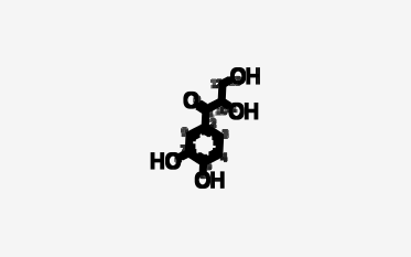 O=C(c1ccc(O)c(O)c1)C(O)CO